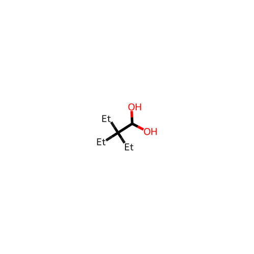 CCC(CC)(CC)C(O)O